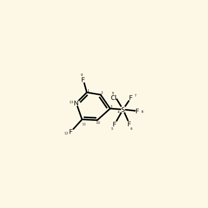 Fc1cc(S(F)(F)(F)(F)Cl)cc(F)n1